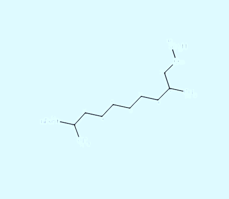 CCCCCC(C)CCCCCCC(C)COS(=O)(=O)O